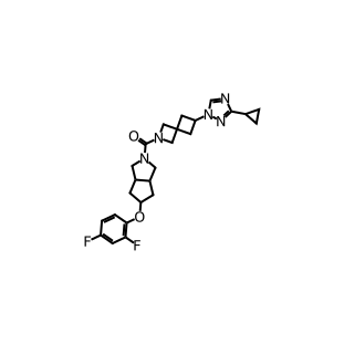 O=C(N1CC2CC(Oc3ccc(F)cc3F)CC2C1)N1CC2(CC(n3cnc(C4CC4)n3)C2)C1